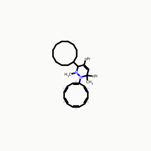 CCCC1=CC(C)(CCC)N(C2=C/C=C\C=C/C=C\C=C/C=C\2)N(C)C1C1CCCCCCCCCCC1